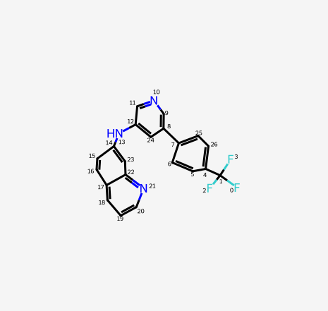 FC(F)(F)c1ccc(-c2cncc(Nc3ccc4cccnc4c3)c2)cc1